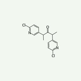 CC(C(=O)C(C)c1ccc(Cl)nc1)c1ccc(Cl)nc1